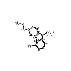 CCOC(=O)c1c2ccc(OCC#N)cc2n2c(C(C)C)cccc12